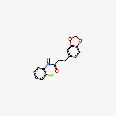 O=C(CCc1ccc2c(c1)OCO2)Nc1ccccc1F